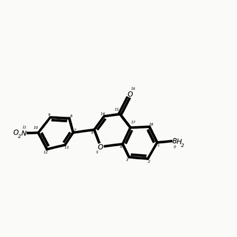 Bc1ccc2oc(-c3ccc([N+](=O)[O-])cc3)cc(=O)c2c1